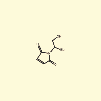 CCC(C)C(CO)N1C(=O)C=CC1=O